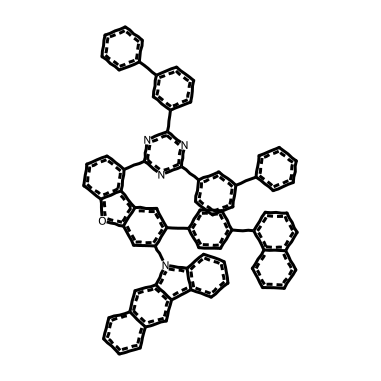 c1ccc(-c2cccc(-c3nc(-c4cccc(-c5ccccc5)c4)nc(-c4cccc5oc6cc(-n7c8ccccc8c8cc9ccccc9cc87)c(-c7ccc(-c8cccc9ccccc89)cc7)cc6c45)n3)c2)cc1